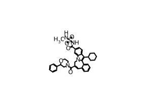 CNS(=O)(=O)NC(=O)c1ccc2c(C3CCCCC3)c3n(c2c1)CC(C(=O)N1CCOC(c2ccccc2)C1)=Cc1ccccc1-3